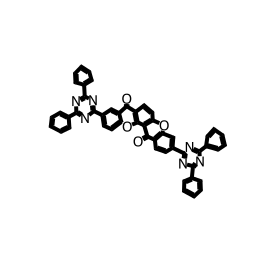 O=c1c2cc(-c3nc(-c4ccccc4)nc(-c4ccccc4)n3)ccc2oc2c1ccc1oc3cc(-c4nc(-c5ccccc5)nc(-c5ccccc5)n4)ccc3c(=O)c12